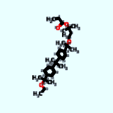 C=CC(=O)OC(C)(C)CCOC(C)(C)c1ccc(C(C)(C)c2ccc(C(C)(C)OCC)cc2)cc1